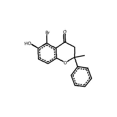 CC1(c2ccccc2)CC(=O)c2c(ccc(O)c2Br)O1